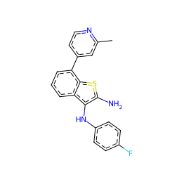 Cc1cc(-c2cccc3c(Nc4ccc(F)cc4)c(N)sc23)ccn1